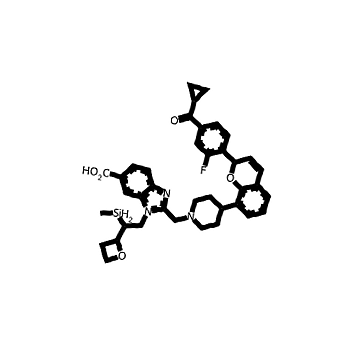 C[SiH2]C(Cn1c(CN2CCC(c3cccc4c3OC(c3ccc(C(=O)C5CC5)cc3F)C=C4)CC2)nc2ccc(C(=O)O)cc21)C1CCO1